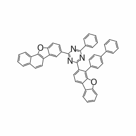 c1ccc(-c2ccc(-c3c(-c4nc(-c5ccccc5)nc(-c5ccc6oc7c8ccccc8ccc7c6c5)n4)ccc4c3oc3ccccc34)cc2)cc1